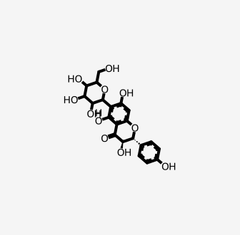 O=C1c2c(cc(O)c(C3OC(CO)C(O)C(O)C3O)c2O)O[C@H](c2ccc(O)cc2)[C@H]1O